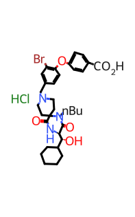 CCCCN1C(=O)[C@@H]([C@H](O)C2CCCCC2)NC(=O)C12CCN(Cc1ccc(Oc3ccc(C(=O)O)cc3)c(Br)c1)CC2.Cl